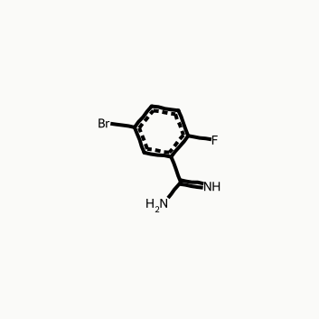 N=C(N)c1cc(Br)ccc1F